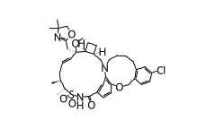 CO[C@]1(CC2=NC(C)(C)CO2)/C=C/C[C@H](C)[C@@H](C)S(=O)(=O)NC(=O)c2ccc3c(c2)N(CCCCc2cc(Cl)ccc2CO3)C[C@@H]2CC[C@H]21